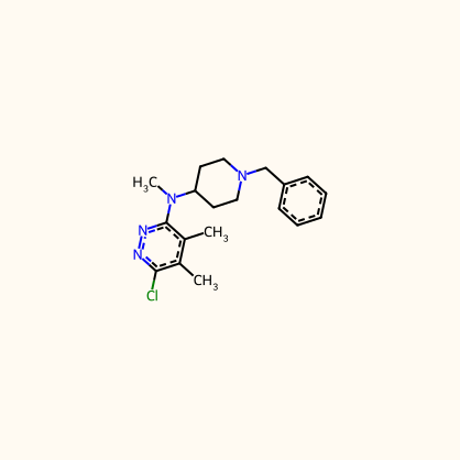 Cc1c(Cl)nnc(N(C)C2CCN(Cc3ccccc3)CC2)c1C